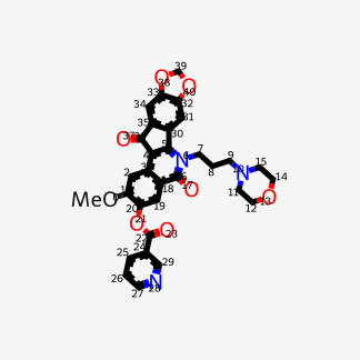 COc1cc2c3c(n(CCCN4CCOCC4)c(=O)c2cc1OC(=O)c1cccnc1)-c1cc2c(cc1C3=O)OCO2